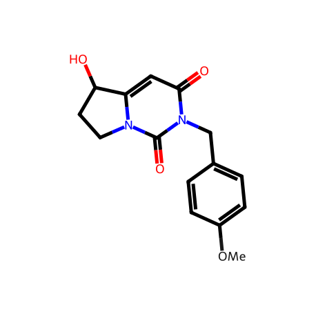 COc1ccc(Cn2c(=O)cc3n(c2=O)CCC3O)cc1